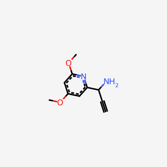 C#CC(N)c1cc(OC)cc(OC)n1